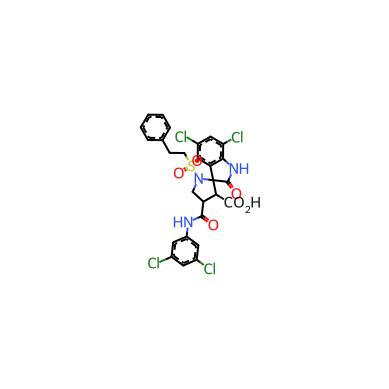 O=C(Nc1cc(Cl)cc(Cl)c1)C1CN(S(=O)(=O)CCc2ccccc2)C2(C(=O)Nc3c(Cl)cc(Cl)cc32)C1C(=O)O